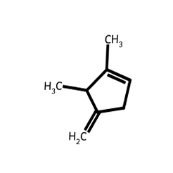 C=C1CC=C(C)C1C